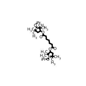 CC(C)ON1C(C)(C)CC(OC(=O)CCCCCC(=O)OC2CC(C)(C)N(OC(C)C)C2(C)C)C1(C)C